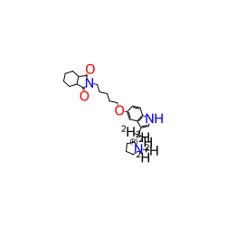 [2H]C([2H])(c1c[nH]c2ccc(OCCCCCN3C(=O)C4CCCCC4C3=O)cc12)[C@H]1CCCN1C([2H])([2H])[2H]